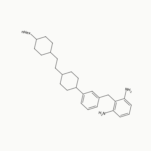 CCCCCCC1CCC(CCC2CCC(c3cccc(Cc4c(N)cccc4N)c3)CC2)CC1